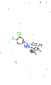 CC(C)(C)C(C)(NCc1ccc(F)c(Cl)c1)C(=O)O